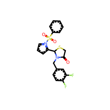 O=C1CSC(c2cccn2S(=O)(=O)c2ccccc2)N1Cc1ccc(F)c(F)c1